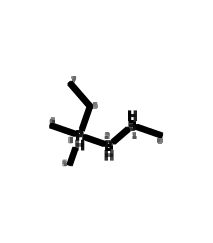 CBB[PH](C)(C)CC